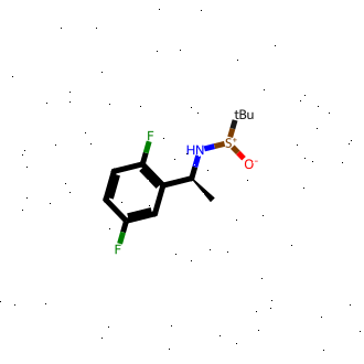 C[C@H](N[S+]([O-])C(C)(C)C)c1cc(F)ccc1F